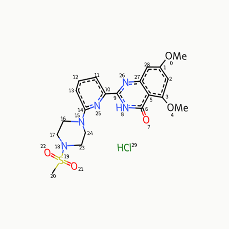 COc1cc(OC)c2c(=O)[nH]c(-c3cccc(N4CCN(S(C)(=O)=O)CC4)n3)nc2c1.Cl